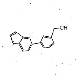 OCc1cccc(-c2ccc3sccc3c2)c1